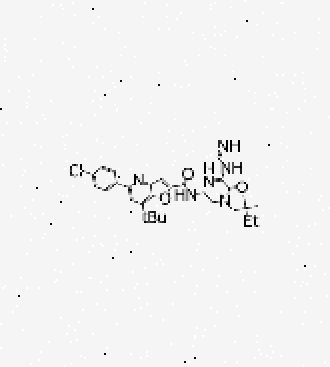 CCC(C)(C)CN(CCNC(=O)c1cc2nc(-c3ccc(Cl)cc3)cc(C(C)(C)C)c2o1)C(=O)C(=N)NC=N